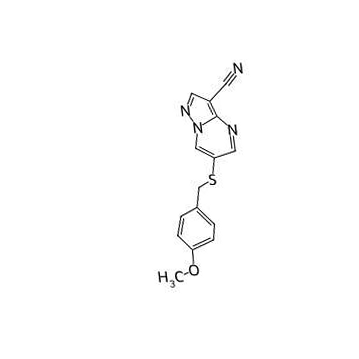 COc1ccc(CSc2cnc3c(C#N)cnn3c2)cc1